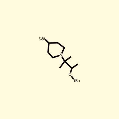 CC(OC(C)(C)C)C(C)(C)N1CCC(C(C)(C)C)CC1